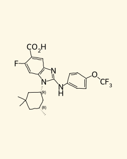 C[C@H]1C[C@@H](n2c(Nc3ccc(OC(F)(F)F)cc3)nc3cc(C(=O)O)c(F)cc32)CC(C)(C)C1